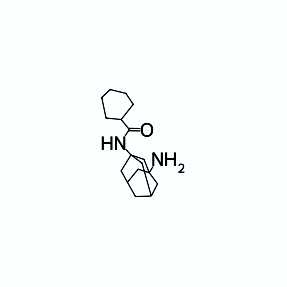 NC12CC3CC(C1)CC(NC(=O)C1CCCCC1)(C3)C2